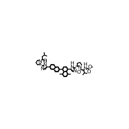 COC(=O)N[C@H](C(=O)N1CCC[C@H]1c1ncc(-c2ccc(-c3ccc4cc(-c5cnc([C@@H]6CCCN6C(=O)CC(C)C)[nH]5)ccc4c3)c3c(C)ccc(C)c23)[nH]1)C(C)C